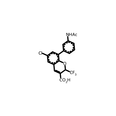 CC(=O)Nc1cccc(-c2cc(Cl)cc3c2OC(C(F)(F)F)C(C(=O)O)=C3)c1